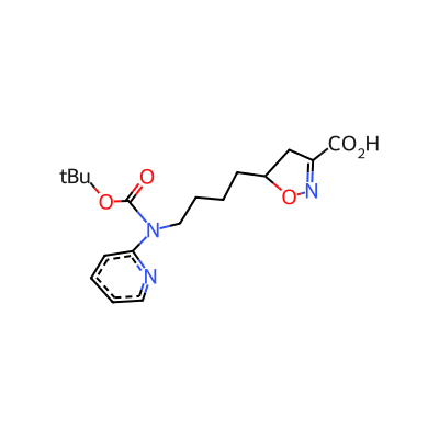 CC(C)(C)OC(=O)N(CCCCC1CC(C(=O)O)=NO1)c1ccccn1